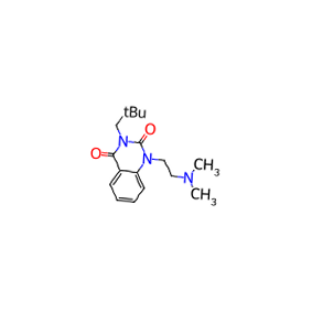 CN(C)CCn1c(=O)n(CC(C)(C)C)c(=O)c2ccccc21